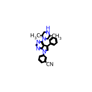 C[C@@H]1CN(c2ncnc3c2c(-c2ccccc2)cn3-c2cccc(C#N)c2)[C@@H](C)CN1